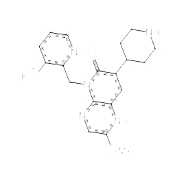 COc1cnc2c(cc(C3CCNCC3)c(=O)n2Cc2ncccc2C(F)(F)F)n1